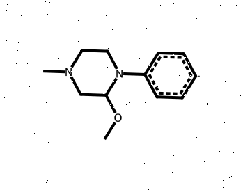 COC1CN(C)CCN1c1cc[c]cc1